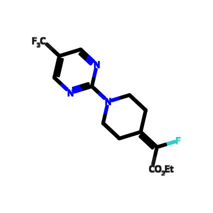 CCOC(=O)C(F)=C1CCN(c2ncc(C(F)(F)F)cn2)CC1